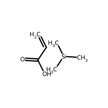 C=CC(=O)O.C[Si](C)C